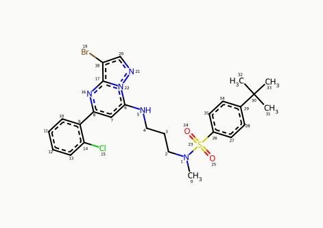 CN(CCCNc1cc(-c2ccccc2Cl)nc2c(Br)cnn12)S(=O)(=O)c1ccc(C(C)(C)C)cc1